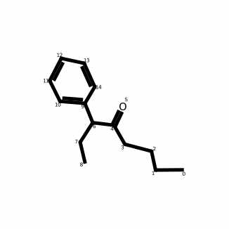 CCCCC(=O)C(CC)c1ccccc1